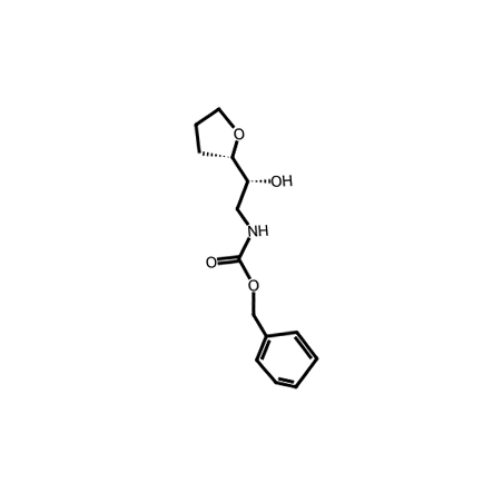 O=C(NC[C@@H](O)[C@@H]1CCCO1)OCc1ccccc1